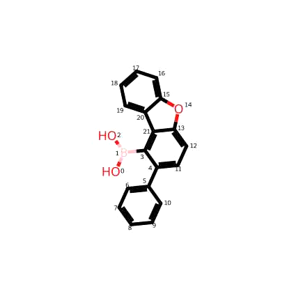 OB(O)c1c(-c2ccccc2)ccc2oc3ccccc3c12